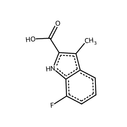 Cc1c(C(=O)O)[nH]c2c(F)cccc12